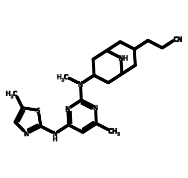 Cc1cc(Nc2ncc(C)s2)nc(N(C)C2CC3CC(CCC#N)CC(C2)N3)n1